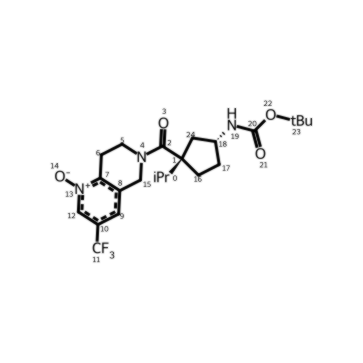 CC(C)[C@]1(C(=O)N2CCc3c(cc(C(F)(F)F)c[n+]3[O-])C2)CC[C@@H](NC(=O)OC(C)(C)C)C1